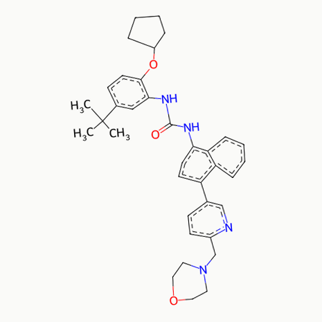 CC(C)(C)c1ccc(OC2CCCC2)c(NC(=O)Nc2ccc(-c3ccc(CN4CCOCC4)nc3)c3ccccc23)c1